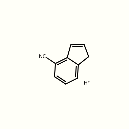 N#Cc1cccc2c1C=CC2.[H+]